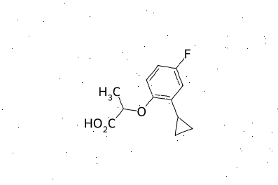 CC(Oc1ccc(F)cc1C1CC1)C(=O)O